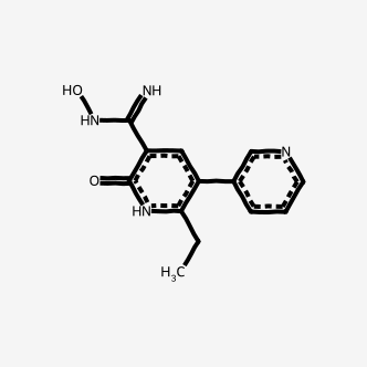 CCc1[nH]c(=O)c(C(=N)NO)cc1-c1cccnc1